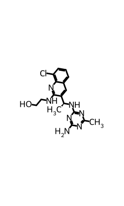 Cc1nc(N)nc(N[C@@H](C)c2cc3cccc(Cl)c3nc2NCCO)n1